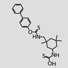 CC1(C)CC(NC(O)=S)CC(C)(CNC(=S)Oc2ccc(-c3ccccc3)cc2)C1